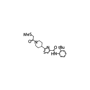 CSCC(=O)N1CCC(c2nc(C(=O)Nc3ccccc3C(C)(C)C)cs2)CC1